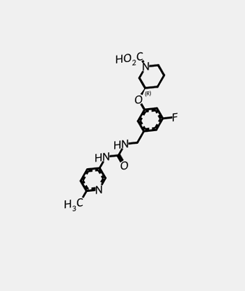 Cc1ccc(NC(=O)NCc2cc(F)cc(O[C@@H]3CCCN(C(=O)O)C3)c2)cn1